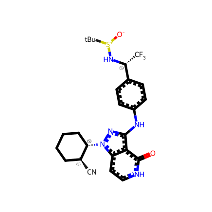 CC(C)(C)[S+]([O-])N[C@@H](c1ccc(Nc2nn([C@H]3CCCC[C@@H]3C#N)c3cc[nH]c(=O)c23)cc1)C(F)(F)F